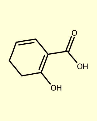 O=C(O)C1=C(O)CCC=C1